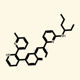 C=c1ccc(C2=C(c3cccc(C)n3)NC=CC2)c/c1=C/C(=C\C)c1cccc(NC(CC)CCC)n1